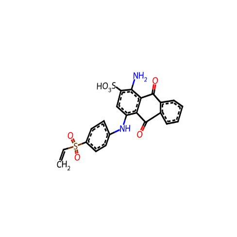 C=CS(=O)(=O)c1ccc(Nc2cc(S(=O)(=O)O)c(N)c3c2C(=O)c2ccccc2C3=O)cc1